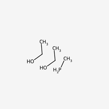 CCO.CCO.CP